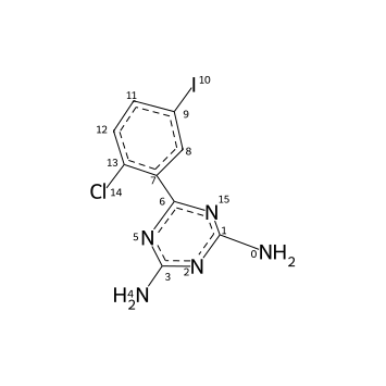 Nc1nc(N)nc(-c2cc(I)ccc2Cl)n1